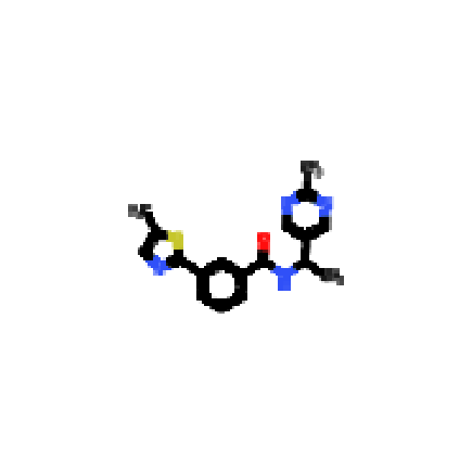 Cc1cnc(-c2cccc(C(=O)NC(C)c3cnc(C(F)(F)F)nc3)c2)s1